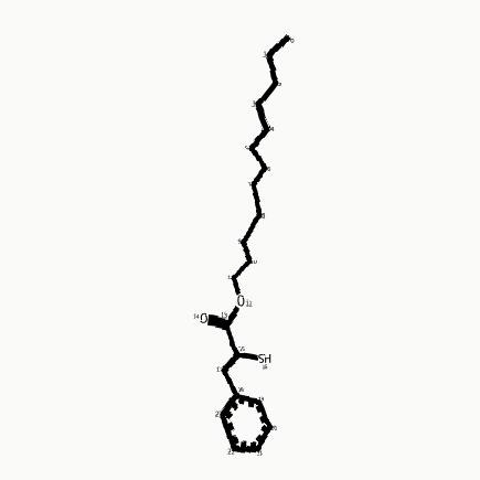 CCCCCCCCCCCCOC(=O)C(S)Cc1ccccc1